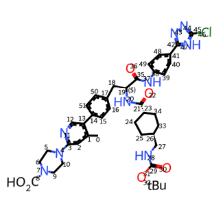 Cc1cc(N2CCN(C(=O)O)CC2)ncc1-c1ccc(C[C@H](NC(=O)[C@H]2CC[C@H](CNC(=O)OC(C)(C)C)CC2)C(=O)Nc2ccc(-c3nnc(Cl)[nH]3)cc2)cc1